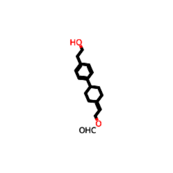 O=COCC=C1CCC(c2ccc(CCO)cc2)CC1